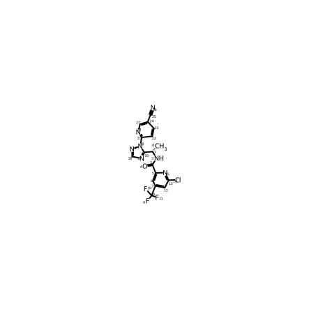 C[C@H](NC(=O)c1cc(C(F)(F)F)cc(Cl)n1)c1ncnn1-c1ccc(C#N)cn1